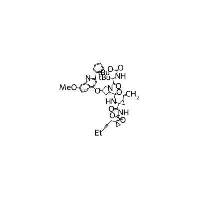 C=CC1CC1(NC(=O)C1CC(Oc2cc(-c3ccccc3)nc3cc(OC)ccc23)CN1C(=O)C(NC(=O)OC(C)(C)C)C(C)(C)C)C(=O)NS(=O)(=O)C1(CC#CCC)CC1